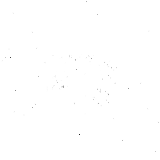 Cc1nc(-c2nnn(C)c2Cn2nnnc2CC(C)C)ccc1O[C@H]1CCC[C@H](C(=O)O)C1